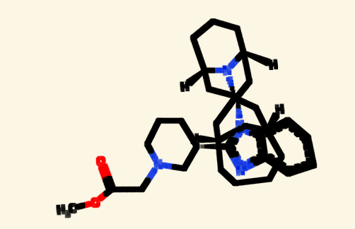 COC(=O)CN1CCC[C@H](c2nc3ccccc3n2[C@H]2C[C@H]3CCC[C@@H](C2)N3[C@@H]2C[C@@H]3CCCC[C@@H](C3)C2)C1